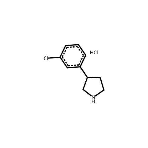 Cl.Clc1cccc(C2CCNC2)c1